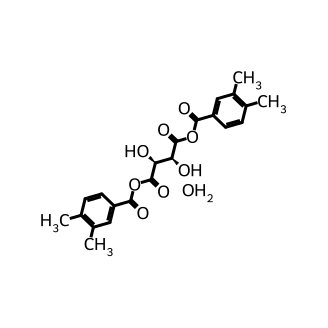 Cc1ccc(C(=O)OC(=O)[C@@H](O)[C@H](O)C(=O)OC(=O)c2ccc(C)c(C)c2)cc1C.O